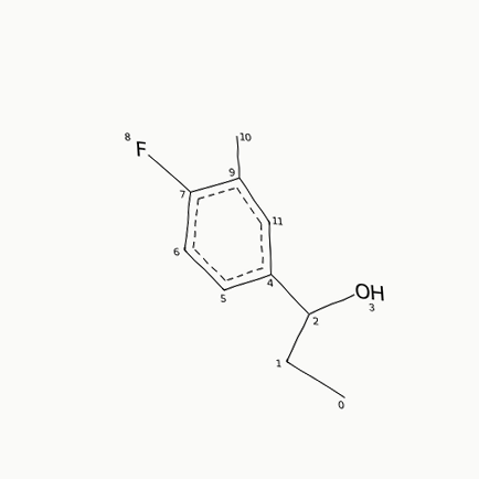 CCC(O)c1ccc(F)c(C)c1